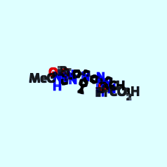 COC(=O)N[C@H](C(=O)N1CCC[C@H]1c1nc2cc([C@H]3CC[C@H](c4ccc5[nH]c([C@@H]6CCCN6C(=O)[C@H](C(C)C)N(C)C(=O)O)nc5c4)N3c3ccc(C4CC4)cc3)ccc2[nH]1)C(C)C